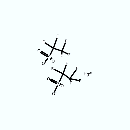 O=S(=O)([O-])C(F)(F)C(F)(F)F.O=S(=O)([O-])C(F)(F)C(F)(F)F.[Hg+2]